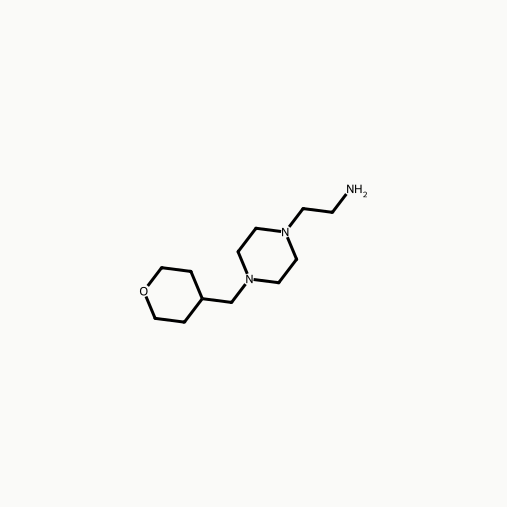 NCCN1CCN(CC2CCOCC2)CC1